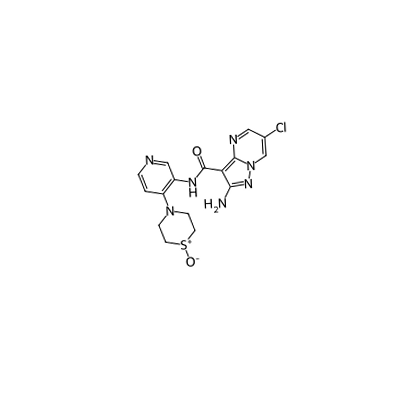 Nc1nn2cc(Cl)cnc2c1C(=O)Nc1cnccc1N1CC[S+]([O-])CC1